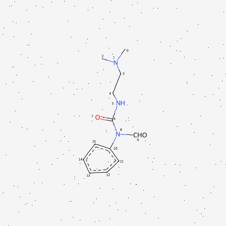 CN(C)CCNC(=O)N(C=O)c1ccccc1